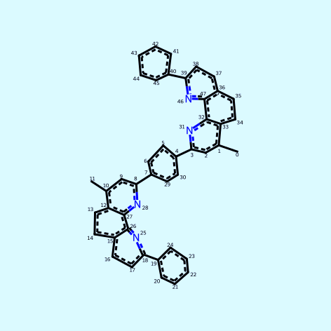 Cc1cc(-c2ccc(-c3cc(C)c4ccc5ccc(-c6ccccc6)nc5c4n3)cc2)nc2c1ccc1ccc(-c3ccccc3)nc12